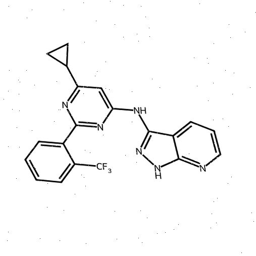 FC(F)(F)c1ccccc1-c1nc(Nc2n[nH]c3ncccc23)cc(C2CC2)n1